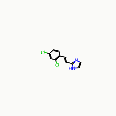 Clc1ccc(/[C]=C/c2ncc[nH]2)c(Cl)c1